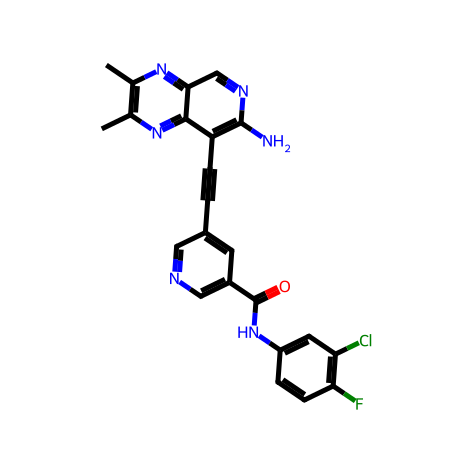 Cc1nc2cnc(N)c(C#Cc3cncc(C(=O)Nc4ccc(F)c(Cl)c4)c3)c2nc1C